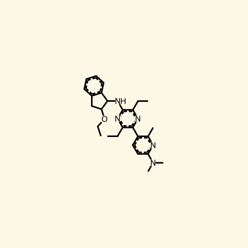 CCOC1Cc2ccccc2C1Nc1nc(CC)c(-c2ccc(N(C)C)nc2C)nc1CC